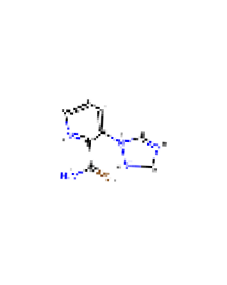 NC(=S)c1ncccc1-n1cncn1